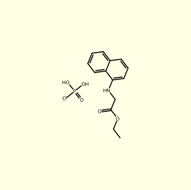 CCOC(=O)CNc1cccc2ccccc12.O=P(O)(O)Cl